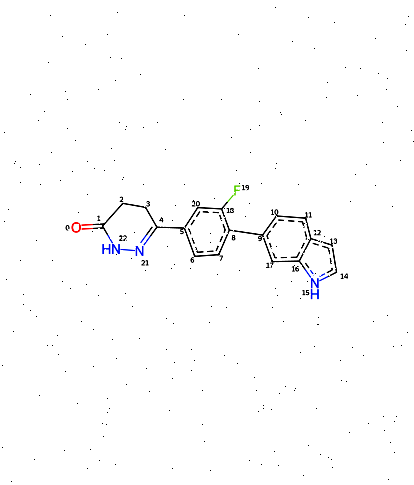 O=C1CCC(c2ccc(-c3ccc4cc[nH]c4c3)c(F)c2)=NN1